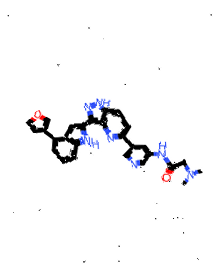 CN(C)CC(=O)Nc1cncc(-c2ccc3[nH]nc(-c4cc5c(-c6ccoc6)cccc5[nH]4)c3n2)c1